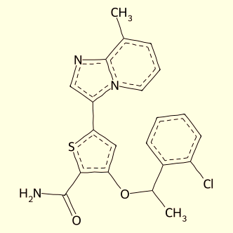 Cc1cccn2c(-c3cc(OC(C)c4ccccc4Cl)c(C(N)=O)s3)cnc12